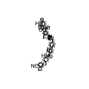 N#Cc1ccc(O[C@H]2CC[C@H](NC(=O)c3ccc(N4CCC(CN5CC6CCC5CN6c5cc6c(cc5F)C(=O)N(C5CCC(=O)NC5=O)C6=O)CC4)nn3)CC2)cc1Cl